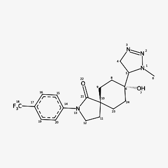 CN1N=NCC1[C@]1(O)CC[C@]2(CCN(c3ccc(C(F)(F)F)cc3)C2=O)CC1